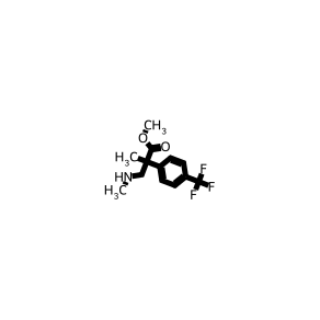 CNCC(C)(C(=O)OC)c1ccc(C(F)(F)F)cc1